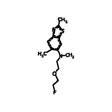 Cc1nc2cc(C)c(N(C)CCOCCF)cc2s1